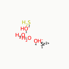 O.O.S.[OH-].[OH-].[Sr+2]